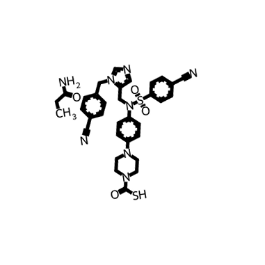 CCC(N)=O.N#Cc1ccc(Cn2cncc2CN(c2ccc(N3CCN(C(=O)S)CC3)cc2)S(=O)(=O)c2ccc(C#N)cc2)cc1